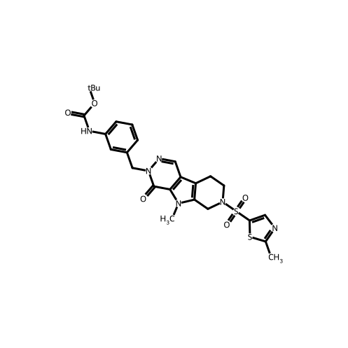 Cc1ncc(S(=O)(=O)N2CCc3c(n(C)c4c(=O)n(Cc5cccc(NC(=O)OC(C)(C)C)c5)ncc34)C2)s1